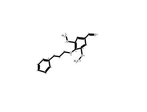 COc1cc(C=O)cc(OC)c1OCCCc1ccccc1